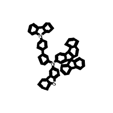 c1cc(-c2ccc(-n3c4ccccc4c4ccccc43)cc2)cc(N(c2ccc3c(c2)C2(c4ccccc4-c4ccccc42)c2ccc4ccccc4c2-3)c2ccc3sc4ccccc4c3c2)c1